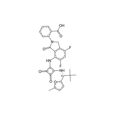 Cc1ccc([C@H](Nc2c(Nc3c(F)cc(F)c4c3C(=O)N(c3ccccc3C(=O)O)C4)c(=O)c2=O)C(C)(C)C)o1